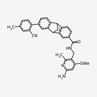 COc1cc(N)nc(C)c1CNC(=O)c1ccc2c(c1)C1OC2c2ccc(-c3ccc(C)cc3C#N)cc21